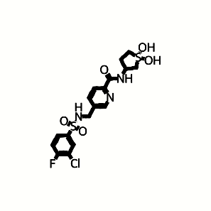 O=C(NC1CCS(O)(O)C1)c1ccc(CNS(=O)(=O)c2ccc(F)c(Cl)c2)cn1